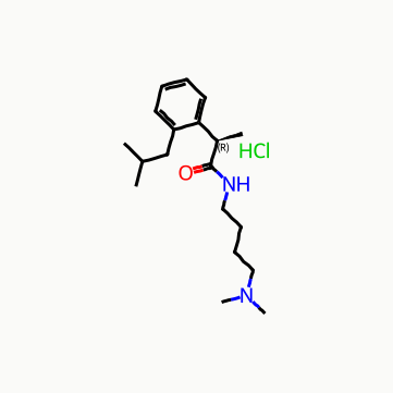 CC(C)Cc1ccccc1[C@@H](C)C(=O)NCCCCN(C)C.Cl